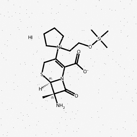 C[C@]1(N)C(=O)N2C(C(=O)[O-])=C([N+]3(CCO[Si](C)(C)C)CCCC3)CS[C@@H]21.I